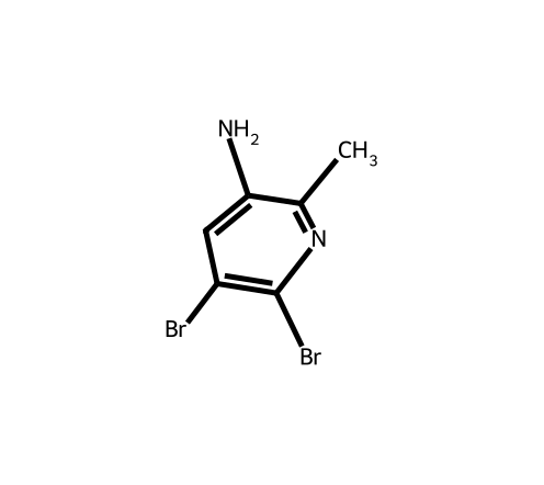 Cc1nc(Br)c(Br)cc1N